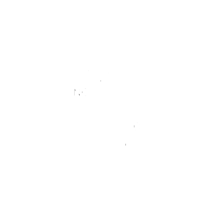 N#CC1(c2ccc(OC(F)(F)F)cc2)CCC1